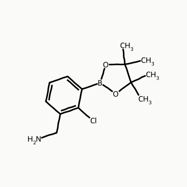 CC1(C)OB(c2cccc(CN)c2Cl)OC1(C)C